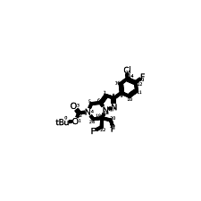 CC(C)(C)OC(=O)N1Cc2cc(-c3ccc(F)c(Cl)c3)nn2C(CF)(CF)C1